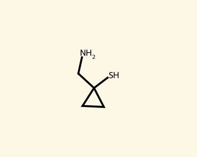 NCC1(S)CC1